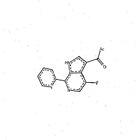 CC(=O)C(=O)c1c[nH]c2c(-c3ccccn3)ncc(F)c12